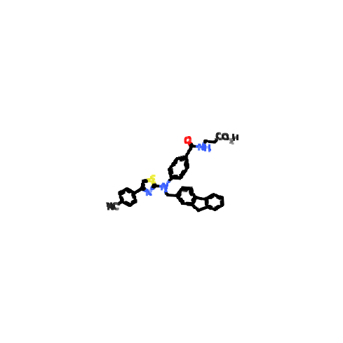 N#Cc1ccc(-c2csc(N(Cc3ccc4c(c3)Cc3ccccc3-4)c3ccc(C(=O)NCCC(=O)O)cc3)n2)cc1